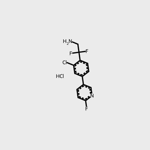 Cl.NCC(F)(F)c1ccc(-c2ccc(F)nc2)cc1Cl